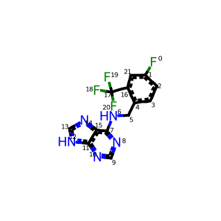 Fc1ccc(CNc2ncnc3[nH]cnc23)c(C(F)(F)F)c1